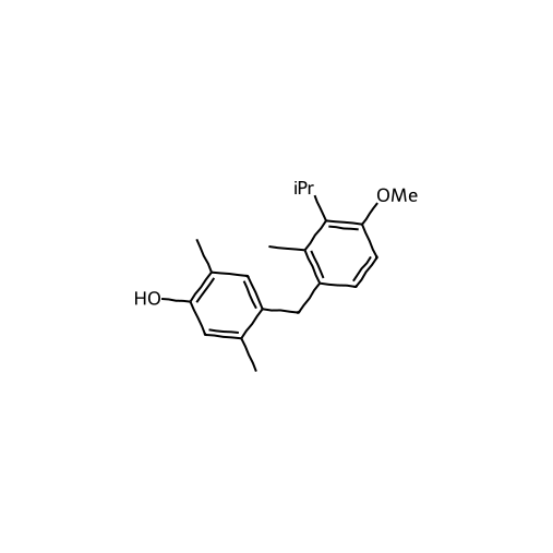 COc1ccc(Cc2cc(C)c(O)cc2C)c(C)c1C(C)C